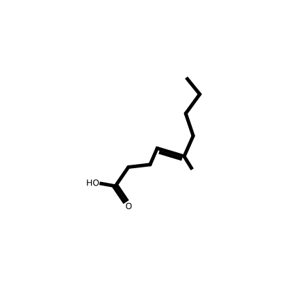 CCCCC(C)=CCCC(=O)O